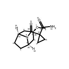 CO[C@H]1C[C@H]2CC[C@@H](C1)N2C(=O)C1(C(N)=O)CC1